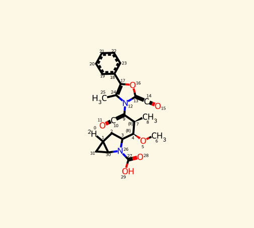 [2H]C12CC([C@H](OC)[C@H](C)C(=C=O)N3C(=C=O)OC(c4ccccc4)=C3C)N(C(=O)O)C1C2